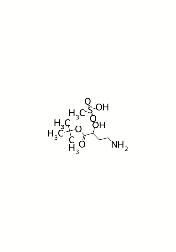 CC(C)(C)OC(=O)C(O)CCN.CS(=O)(=O)O